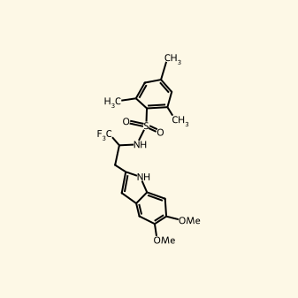 COc1cc2cc(CC(NS(=O)(=O)c3c(C)cc(C)cc3C)C(F)(F)F)[nH]c2cc1OC